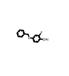 CC(=O)Oc1ccc(OCc2ccccc2)cc1F